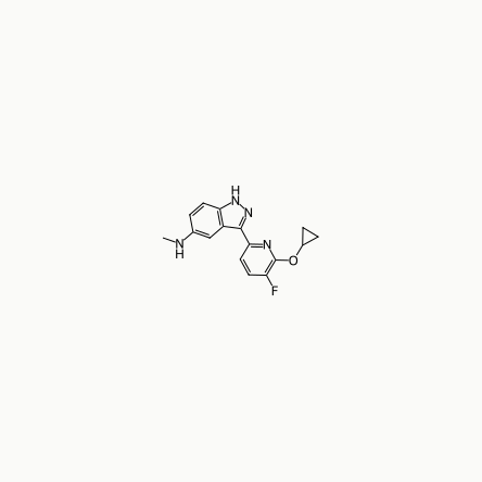 CNc1ccc2[nH]nc(-c3ccc(F)c(OC4CC4)n3)c2c1